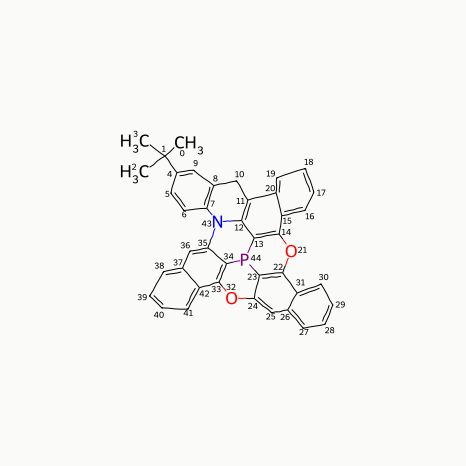 CC(C)(C)c1ccc2c(c1)Cc1c3c4c(c5ccccc15)Oc1c5c(cc6ccccc16)Oc1c(c(cc6ccccc16)N23)P54